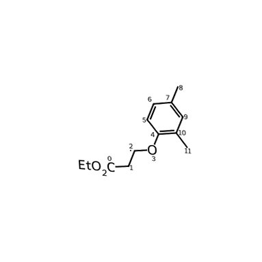 CCOC(=O)C[CH]Oc1ccc(C)cc1C